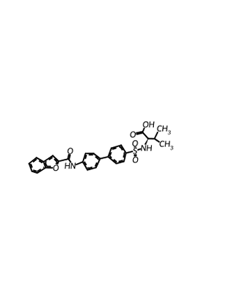 CC(C)[C@@H](NS(=O)(=O)c1ccc(-c2ccc(NC(=O)c3cc4ccccc4o3)cc2)cc1)C(=O)O